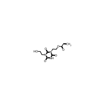 C=CC(=O)OCCn1c(=O)[nH]c(=O)n(CCO)c1=O